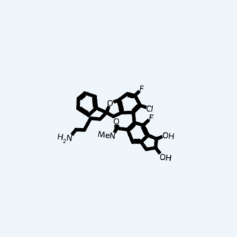 CNC(=O)c1cc2c(c(F)c1-c1c(Cl)c(F)cc3c1CC(CCCCN)(c1ccccc1)O3)C(O)C(O)C2